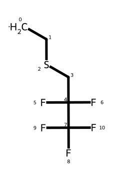 [CH2]CSCC(F)(F)C(F)(F)F